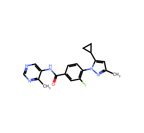 Cc1cc(C2CC2)n(-c2ccc(C(=O)Nc3cncnc3C)cc2F)n1